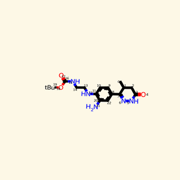 CC1CC(=O)NN=C1c1ccc(NCCNC(=O)OC(C)(C)C)c(N)c1